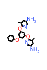 Cc1cc(N)cnc1Oc1cc(Oc2ccccc2)cc(Oc2ncc(N)cc2C)c1